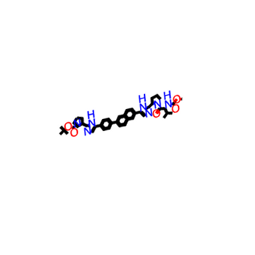 COC(=O)NC(C(=O)N1CCCC1c1ncc(-c2ccc3cc(-c4ccc(-c5cnc(C67CCC(C6)N7C(=O)OC(C)(C)C)[nH]5)cc4)ccc3c2)[nH]1)C(C)C